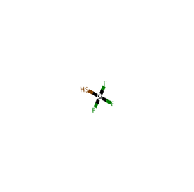 F[Si](F)(F)S